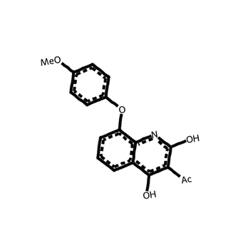 COc1ccc(Oc2cccc3c(O)c(C(C)=O)c(O)nc23)cc1